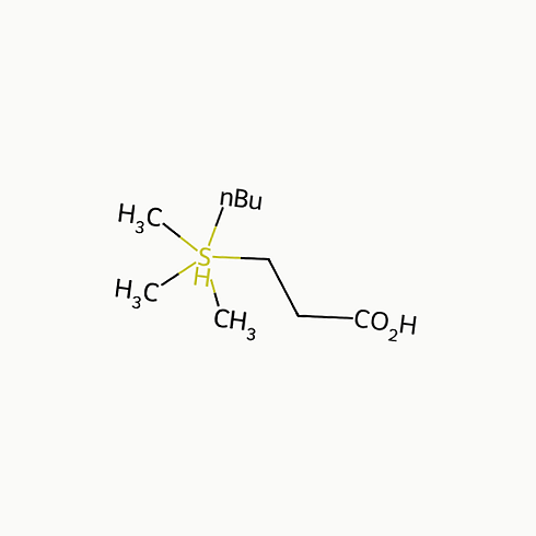 CCCC[SH](C)(C)(C)CCC(=O)O